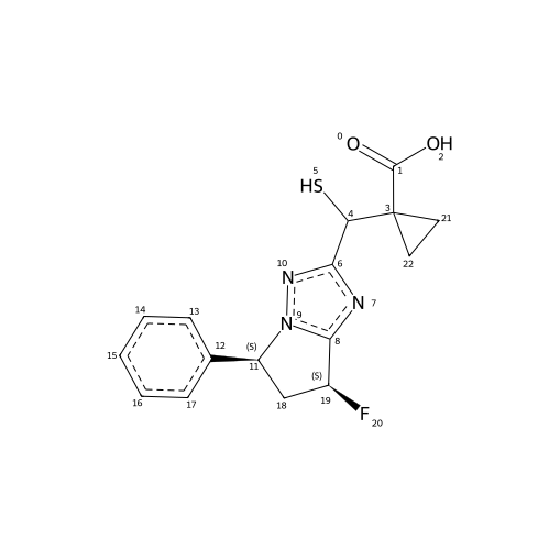 O=C(O)C1(C(S)c2nc3n(n2)[C@H](c2ccccc2)C[C@@H]3F)CC1